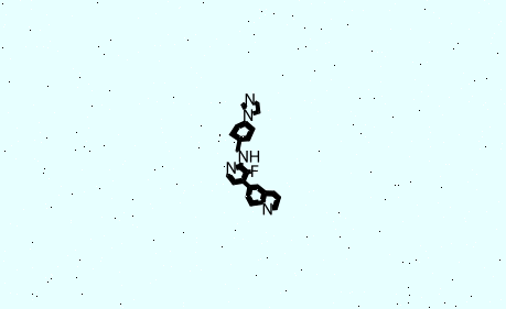 Fc1c(-c2ccc3ncccc3c2)ccnc1NCc1ccc(N2C=NCC2)cc1